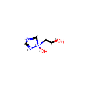 OCC[N+]1(O)C=NC=N1